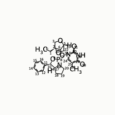 CC[C@@]12CO[C@@H](C1O[P@@]1O[C@H](c3ccccc3)[C@@H]3CCCN31)[C@H](n1cc(C)c(=O)[nH]c1=O)O2